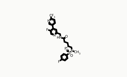 CN(C[C@H](F)CCC(=O)NCc1cc(-c2ccc(C(F)(F)F)nc2)c(F)cn1)S(=O)(=O)c1ccc(F)cc1